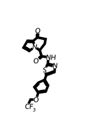 O=C1CCC(C(=O)Nc2ncc(-c3ccc(OCC(F)(F)F)cc3)s2)n2cccc21